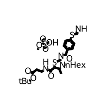 CCCCCCN1C(=NC(=O)c2ccc(SC=N)cc2)SC(C(=O)NCCC(=O)OC(C)(C)C)C1C.COS(=O)(=O)O